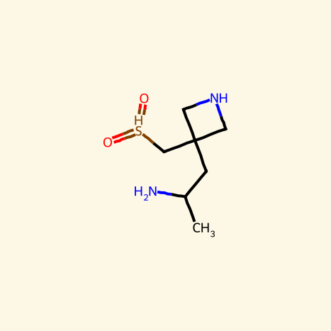 CC(N)CC1(C[SH](=O)=O)CNC1